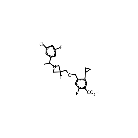 CC(c1cc(F)cc(Cl)c1)N1CC(F)(COCc2cc(F)c(C(=O)O)cc2C2CC2)C1